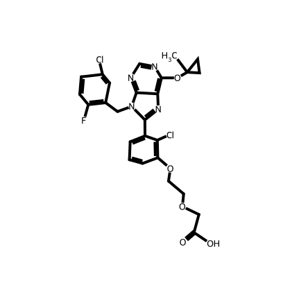 CC1(Oc2ncnc3c2nc(-c2cccc(OCCOCC(=O)O)c2Cl)n3Cc2cc(Cl)ccc2F)CC1